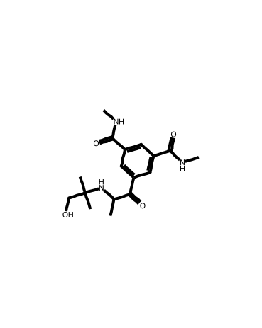 CNC(=O)c1cc(C(=O)NC)cc(C(=O)C(C)NC(C)(C)CO)c1